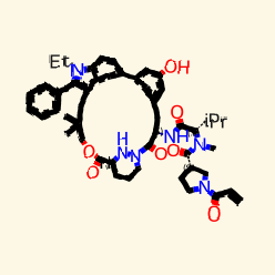 C=CC(=O)N1CC[C@H](C(=O)N(C)[C@H](C(=O)N[C@H]2Cc3cc(O)cc(c3)-c3ccc4c(c3)c(c(-c3ccccc3)n4CC)CC(C)(C)COC(=O)[C@@H]3CCCN(N3)C2=O)C(C)C)C1